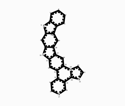 c1ccc2c(c1)sc1cc3sc4cc5c6ccncc6c6nccn6c5cc4c3cc12